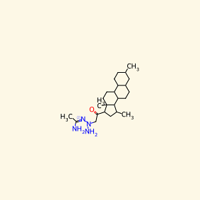 C/C(N)=N/N(N)CC(=O)C1CC(C)C2C3CCC4CC(C)CCC4C3CCC12C